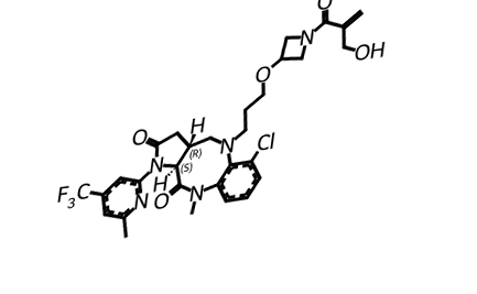 C=C(CO)C(=O)N1CC(OCCCN2C[C@H]3CC(=O)N(c4cc(C(F)(F)F)cc(C)n4)[C@@H]3C(=O)N(C)c3cccc(Cl)c32)C1